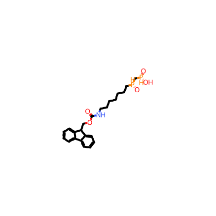 O=C(NCCCCCCC[PH](=O)C[PH](=O)O)OCC1c2ccccc2-c2ccccc21